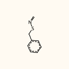 C=NSCc1ccccc1